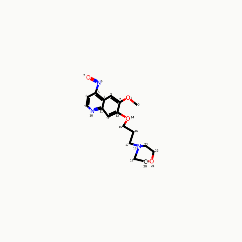 COc1cc2c(N=O)ccnc2cc1OCCCN1CCOCC1